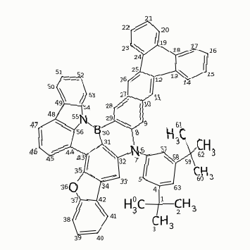 CC(C)(C)c1cc(N2c3cc4cc5c6ccccc6c6ccccc6c5cc4cc3B3c4c2cc2c(oc5ccccc52)c4-c2cccc4c5ccccc5n3c24)cc(C(C)(C)C)c1